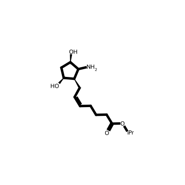 CC(C)OC(=O)CCC/C=C\C[C@@H]1C(N)[C@H](O)C[C@@H]1O